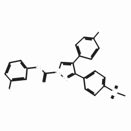 CS(=O)(=O)c1ccc(-c2nn(C(=O)Nc3cccc(Cl)c3)[c]c2-c2ccc(Cl)cc2)cc1